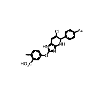 CC(=O)c1ccc(C2Nc3nc(Oc4ccc(C)c(C(=O)O)c4)[nH]c3C=C2Cl)cc1